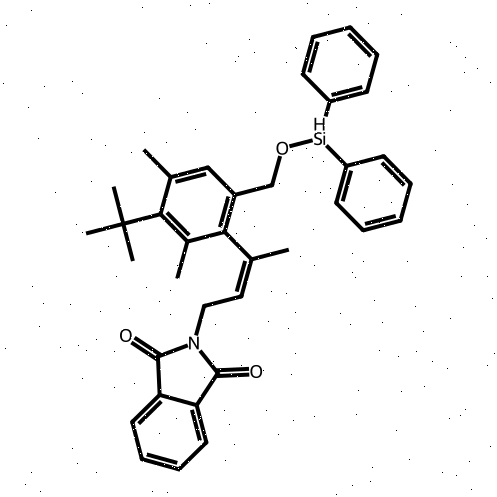 CC(=CCN1C(=O)c2ccccc2C1=O)c1c(CO[SiH](c2ccccc2)c2ccccc2)cc(C)c(C(C)(C)C)c1C